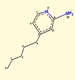 CCCCCc1ccnc(N)c1